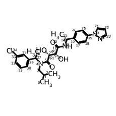 CC(C)CN(C(=O)[C@H](O)[C@@H](O)C(=O)N[C@H](C)c1ccc(-n2cccn2)cc1)C(C)c1cccc(Cl)c1